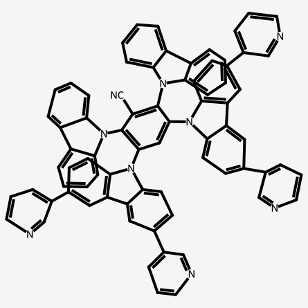 N#Cc1c(-n2c3ccccc3c3ccccc32)c(-n2c3ccc(-c4cccnc4)cc3c3cc(-c4cccnc4)ccc32)cc(-n2c3ccc(-c4cccnc4)cc3c3cc(-c4cccnc4)ccc32)c1-n1c2ccccc2c2ccccc21